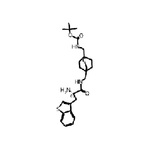 CC(C)(C)OC(=O)NCC12CCC(CNC(=O)[C@@H](N)Cc3csc4ccccc34)(CC1)CC2